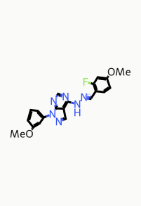 COc1cccc(-n2ncc3c(N/N=C/c4ccc(OC)cc4F)ncnc32)c1